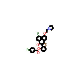 O=C(Oc1cccc2sc(-c3ccc(OCCN4CCCC4)cc3)c(C(=O)c3ccc(F)cc3)c12)c1ccc(F)cc1